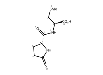 CSC[C@H](NC(=O)[C@H]1CCC(=S)N1)C(=O)O